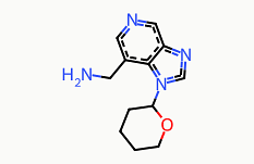 NCc1cncc2ncn(C3CCCCO3)c12